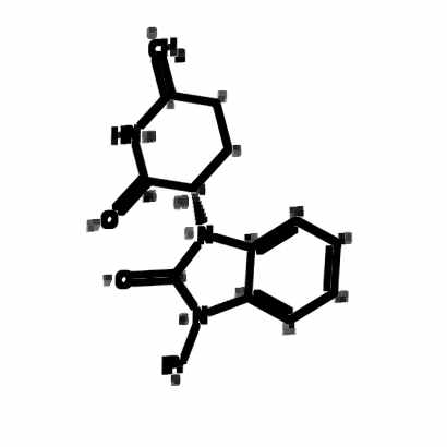 C=C1CC[C@H](n2c(=O)n(C(C)C)c3ccccc32)C(=O)N1